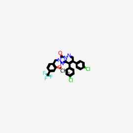 COc1cc(C(F)(F)F)ccc1Cn1nc2c(-c3ccc(Cl)cc3)c(-c3ccc(Cl)cc3)cnn2c1=O